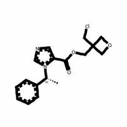 C[C@H](c1ccccc1)n1cncc1C(=O)OCC1(CCl)COC1